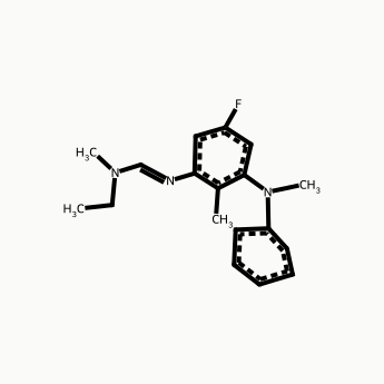 CCN(C)C=Nc1cc(F)cc(N(C)c2ccccc2)c1C